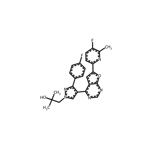 Cc1nc(-c2cc3c(-c4cn(CC(C)(C)O)nc4-c4ccc(F)cc4)ncnc3o2)ccc1F